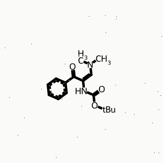 CN(C)/C=C(/NC(=O)OC(C)(C)C)C(=O)c1ccccc1